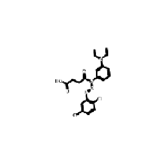 CCN(CC)c1cccc(N(N=Nc2cc(Cl)ccc2Cl)C(=O)CCC(=O)O)c1